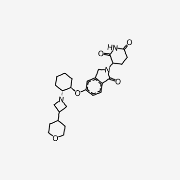 O=C1CCC(N2Cc3cc(O[C@@H]4CCCC[C@H]4N4CC(C5CCOCC5)C4)ccc3C2=O)C(=O)N1